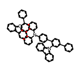 c1ccc(-c2ccc(-c3ccccc3N(c3ccc(-c4ccc(-c5ccccc5)cc4-n4c5ccccc5c5ccccc54)cc3)c3ccccc3-c3cccc4c3oc3ccccc34)cc2)cc1